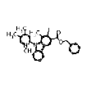 Cc1cc(-n2c3ccccc3c3cc(C(=O)OCc4ccccc4)c(I)c(C)c32)[n+](C)cc1C